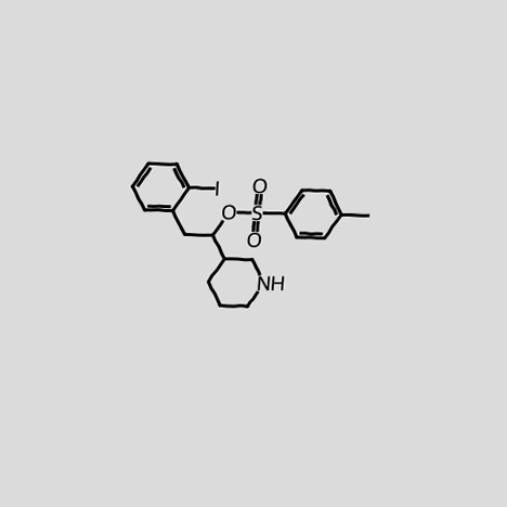 Cc1ccc(S(=O)(=O)OC(Cc2ccccc2I)C2CCCNC2)cc1